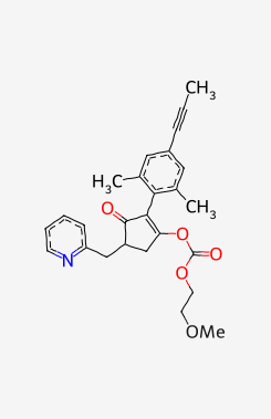 CC#Cc1cc(C)c(C2=C(OC(=O)OCCOC)CC(Cc3ccccn3)C2=O)c(C)c1